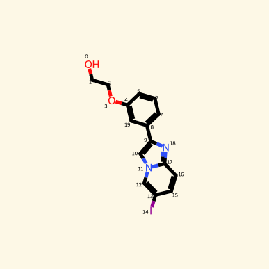 OCCOc1cccc(-c2cn3cc(I)ccc3n2)c1